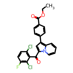 CCOC(=O)c1ccc(-c2cc(C(=O)c3c(Cl)ccc(F)c3Cl)n3ccccc23)cc1